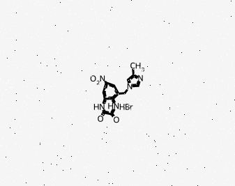 Br.Cc1cn(Cc2cc([N+](=O)[O-])cc3[nH]c(=O)c(=O)[nH]c23)cn1